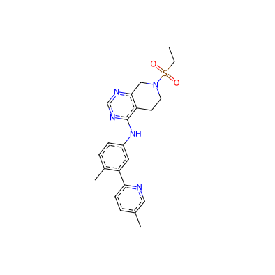 CCS(=O)(=O)N1CCc2c(ncnc2Nc2ccc(C)c(-c3ccc(C)cn3)c2)C1